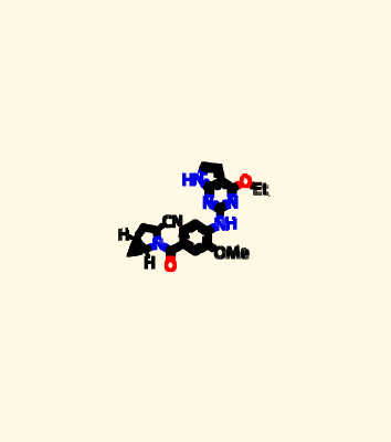 CCOc1nc(Nc2ccc(C(=O)N3[C@H](C#N)C[C@@H]4C[C@@H]43)cc2OC)nc2[nH]ccc12